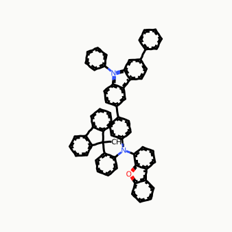 CC1(c2ccccc2N(c2ccc(-c3ccc4c(c3)c3ccc(-c5ccccc5)cc3n4-c3ccccc3)cc2)c2cccc3c2oc2ccccc23)c2ccccc2-c2ccccc21